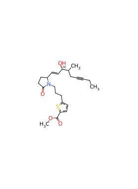 CCC#CCC(C)[C@H](O)C=CC1CCC(=O)N1CCCc1ccc(C(=O)OC)s1